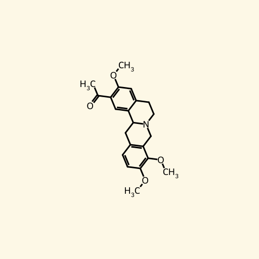 COc1cc2c(cc1C(C)=O)C1Cc3ccc(OC)c(OC)c3CN1CC2